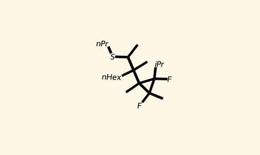 CCCCCCC(C)(C(C)SCCC)C1(C)C(C)(F)C1(F)C(C)C